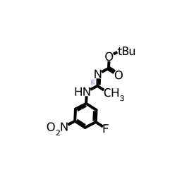 C/C(=N\C(=O)OC(C)(C)C)Nc1cc(F)cc([N+](=O)[O-])c1